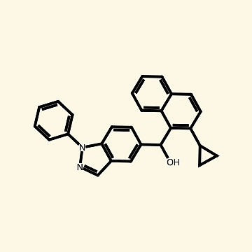 OC(c1ccc2c(cnn2-c2ccccc2)c1)c1c(C2CC2)ccc2ccccc12